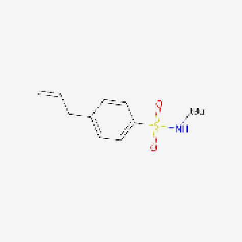 C=CCc1ccc(S(=O)(=O)NC(C)(C)C)cc1